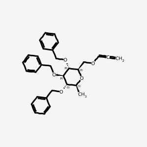 C=C=COC[C@H]1O[C@@H](C)[C@H](OCc2ccccc2)[C@@H](OCc2ccccc2)[C@@H]1OCc1ccccc1